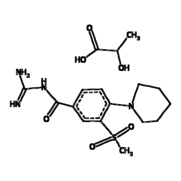 CC(O)C(=O)O.CS(=O)(=O)c1cc(C(=O)NC(=N)N)ccc1N1CCCCC1